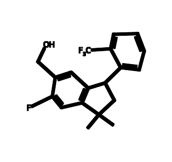 CC1(C)CC(c2ccccc2C(F)(F)F)c2cc(CO)c(F)cc21